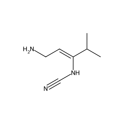 CC(C)C(=CCN)NC#N